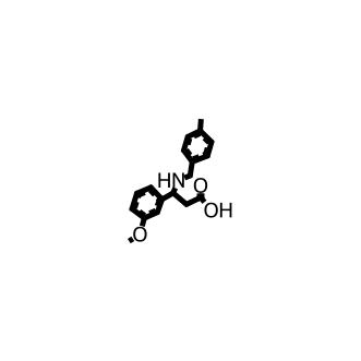 COc1cccc(C(CC(=O)O)NCc2ccc(C)cc2)c1